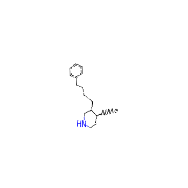 CN[C@H]1CCNC[C@H]1CCCCc1ccccc1